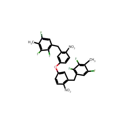 Cc1c(F)cc(Cc2cc(Oc3ccc([N+](=O)[O-])c(Cc4cc(F)c(C)c(F)c4F)c3)ccc2[N+](=O)[O-])c(F)c1F